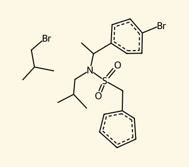 CC(C)CBr.CC(C)CN(C(C)c1ccc(Br)cc1)S(=O)(=O)Cc1ccccc1